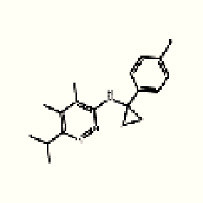 Cc1c(NC2(c3ccc(F)cc3)CC2)nnc(C(C)C)c1C